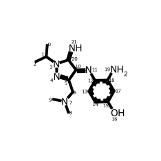 CC(C)N1N=C(CN(C)C)C(=Nc2ccc(O)cc2N)C1=N